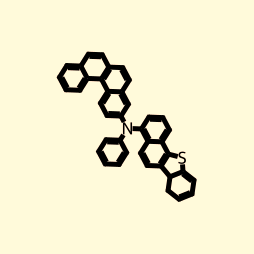 C1=CCC2C(=C1)Sc1c2ccc2c(N(c3ccccc3)c3ccc4c(ccc5ccc6ccccc6c54)c3)cccc12